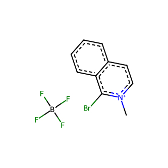 C[n+]1ccc2ccccc2c1Br.F[B-](F)(F)F